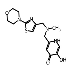 CN(Cc1csc(N2CCOCC2)n1)Cc1cc(=O)c(O)c[nH]1